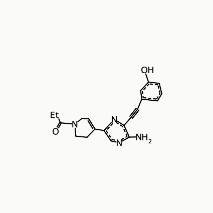 CCC(=O)N1CC=C(c2cnc(N)c(C#Cc3cccc(O)c3)n2)CC1